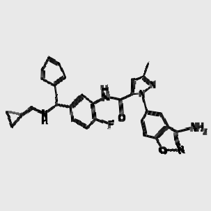 Cc1cc(C(=O)Nc2cc(C(NCC3CC3)c3ccccc3)ccc2F)n(-c2ccc3onc(N)c3c2)n1